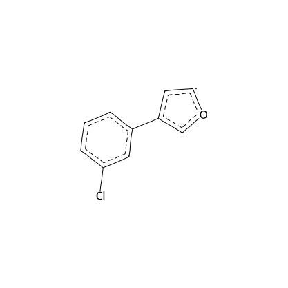 Clc1cccc(-c2c[c]oc2)c1